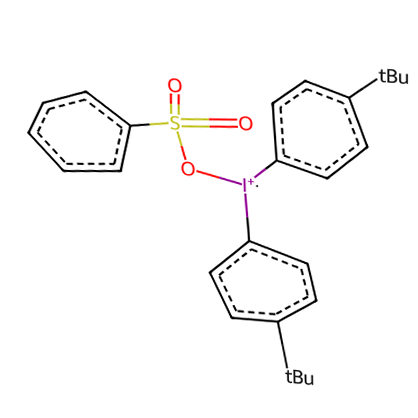 CC(C)(C)c1ccc([I+](OS(=O)(=O)c2ccccc2)c2ccc(C(C)(C)C)cc2)cc1